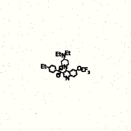 CCc1ccc(S(=O)(=O)c2cnc3ccc(OC(F)(F)F)cc3c2N2CCC(N(CC)CC)CC2)cc1